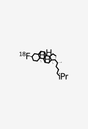 CC(C)CCC[C@@H](C)[C@H]1CC[C@H]2[C@@H]3CC=C4C[C@H]([18F])CC[C@]4(C)[C@H]3CC[C@]12C